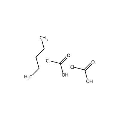 CCCCC.O=C(O)Cl.O=C(O)Cl